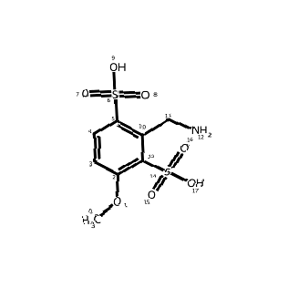 COc1ccc(S(=O)(=O)O)c(CN)c1S(=O)(=O)O